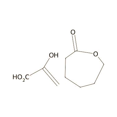 C=C(O)C(=O)O.O=C1CCCCCO1